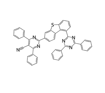 N#Cc1c(-c2ccccc2)nc(-c2ccc3c(c2)sc2cccc(-c4nc(-c5ccccc5)nc(-c5ccccc5)n4)c23)nc1-c1ccccc1